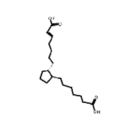 O=C(O)C=CCCCC[C@H]1CCC[C@@H]1CCCCCCC(=O)O